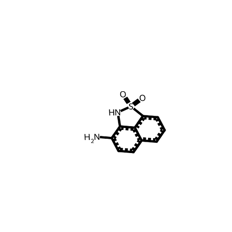 Nc1ccc2cccc3c2c1NS3(=O)=O